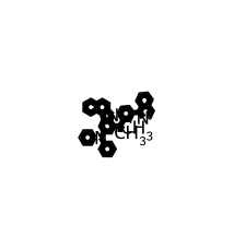 CC1(C)c2cc(-c3nccc4ccccc34)ccc2-n2c3ccc4ccccc4c3c3cc(N(c4ccccc4)c4ccccc4)cc1c32